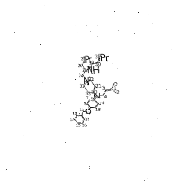 CC(C)=CCN(c1ccc(OCc2ccccc2)cc1)C1CCN(CC(CC(C)C)NCCC(C)C)CC1